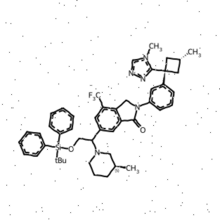 C[C@H]1CCCN(C(CO[Si](c2ccccc2)(c2ccccc2)C(C)(C)C)c2cc3c(c(C(F)(F)F)c2)CN(c2cccc([C@]4(c5nncn5C)C[C@@H](C)C4)c2)C3=O)C1